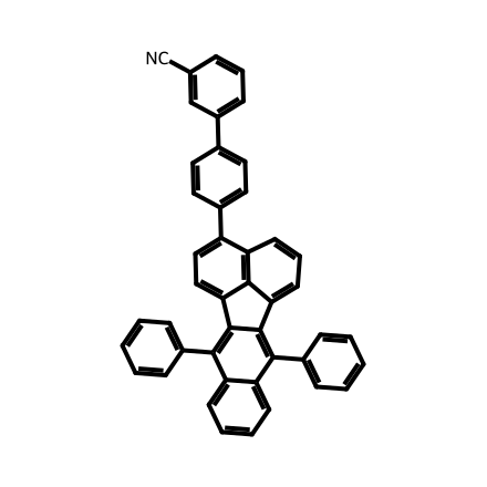 N#Cc1cccc(-c2ccc(-c3ccc4c5c(cccc35)-c3c-4c(-c4ccccc4)c4ccccc4c3-c3ccccc3)cc2)c1